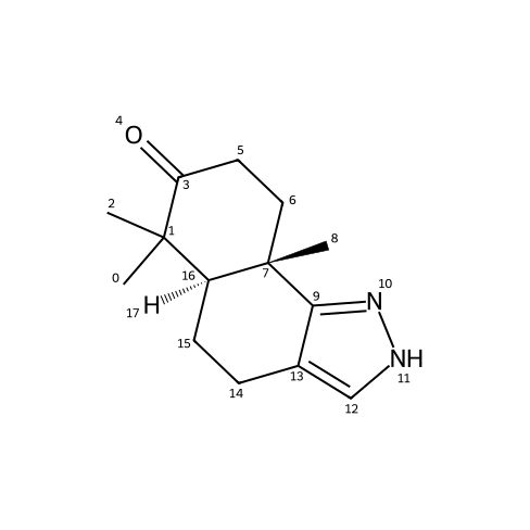 CC1(C)C(=O)CC[C@]2(C)c3n[nH]cc3CC[C@@H]12